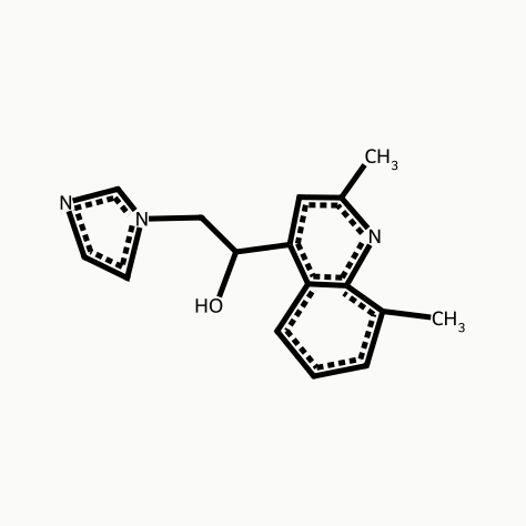 Cc1cc(C(O)Cn2ccnc2)c2cccc(C)c2n1